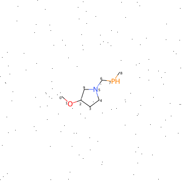 COC1CCN(CPC)C1